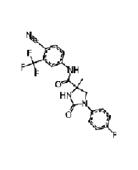 CC1(C(=O)Nc2ccc(C#N)c(C(F)(F)F)c2)CN(c2ccc(F)cc2)C(=O)N1